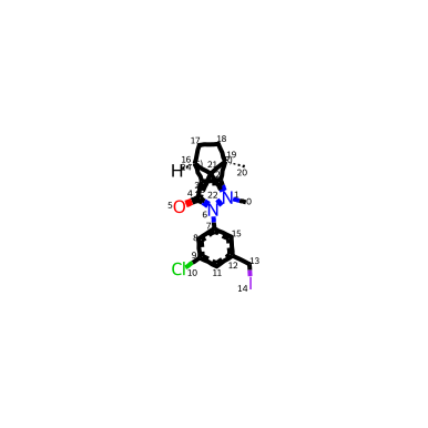 Cn1c2c(c(=O)n1-c1cc(Cl)cc(CI)c1)[C@H]1CC[C@]2(C)C1(C)C